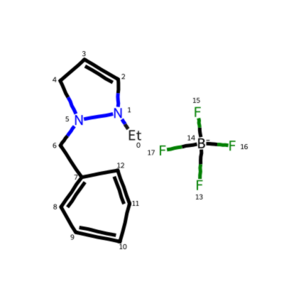 CCN1C=CCN1Cc1ccccc1.F[B-](F)(F)F